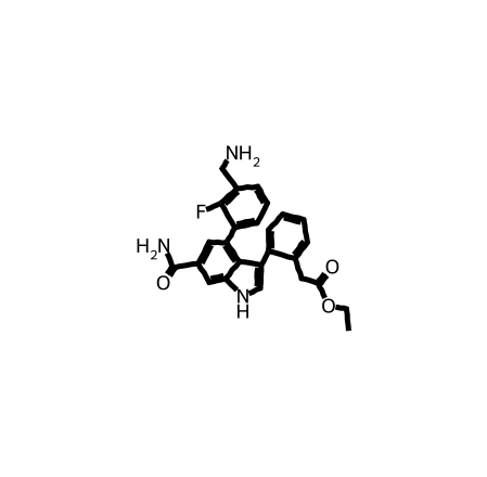 CCOC(=O)Cc1ccccc1-c1c[nH]c2cc(C(N)=O)cc(-c3cccc(CN)c3F)c12